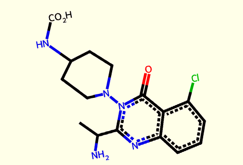 CC(N)c1nc2cccc(Cl)c2c(=O)n1N1CCC(NC(=O)O)CC1